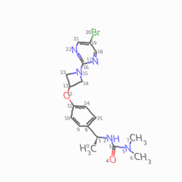 C[C@H](NC(=O)N(C)C)c1ccc(OC2CN(c3ncc(Br)cn3)C2)cc1